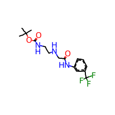 CC(C)(C)OC(=O)NCCNCC(=O)Nc1cccc(C(F)(F)F)c1